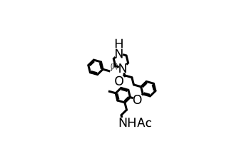 CC(=O)NCCc1cc(C)ccc1Oc1ccccc1CCC(=O)N1CCNC[C@H]1Cc1ccccc1